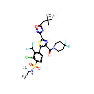 CC[C@H](NS(=O)(=O)c1ccc(-c2sc(-c3noc(CC(C)(C)C(=O)O)n3)nc2C(=O)N2CCC(F)(F)CC2)c(C(F)F)c1Cl)C(F)(F)F